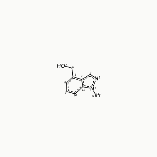 CC(C)n1ncc2c(CO)cccc21